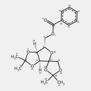 CC1(C)O[C@H]2[C@H](COC(=O)c3ccccc3)OC3(COC(C)(C)O3)[C@H]2O1